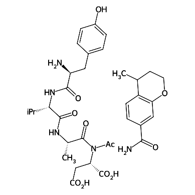 CC(=O)N(C(=O)[C@H](C)NC(=O)[C@@H](NC(=O)[C@@H](N)Cc1ccc(O)cc1)C(C)C)[C@@H](CC(=O)O)C(=O)O.CC1CCOc2cc(C(N)=O)ccc21